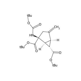 C=C1C[C@@](NC(=O)OC(C)(C)C)(C(=O)OC(C)(C)C)[C@H]2[C@@H]1[C@@H]2C(=O)OC(C)(C)C